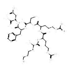 CC(C)CC(NC(=O)C(CCCNC(=N)N)NC(=O)C(CCCNC(=N)N)NC(=O)C(N)CCCCN)C(=O)NC(Cc1ccccc1)C(=O)NC(CC(N)=O)C(N)=O